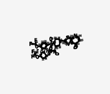 O=C(NCc1ccc(OC(F)(F)F)cc1)[C@H]1CN(c2nn3c(=O)ccnc3s2)CCN1S(=O)(=O)c1ccc(OC(F)F)cc1